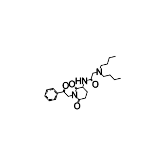 CCCCN(CCCC)CC(=O)NC1CCC(=O)N(CC(=O)c2ccccc2)C1=O